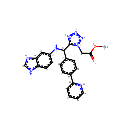 CC(C)(C)OC(=O)Cn1nnnc1C(Nc1ccc2[nH]cnc2c1)c1ccc(-c2ccccn2)cc1